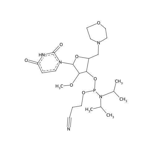 COC1C(OP(OCCC#N)N(C(C)C)C(C)C)C(CN2CCOCC2)OC1n1ccc(=O)[nH]c1=O